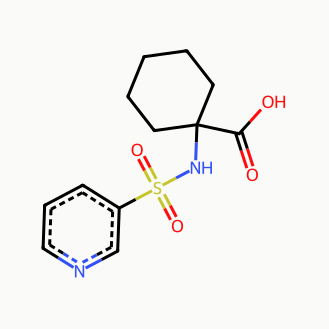 O=C(O)C1(NS(=O)(=O)c2cccnc2)CCCCC1